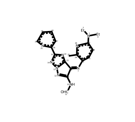 CCN(CC)c1ccc(/N=C2/C(NC=O)=Nn3nc(-c4ccccn4)nc32)c(C)n1